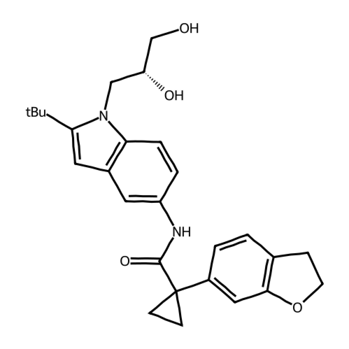 CC(C)(C)c1cc2cc(NC(=O)C3(c4ccc5c(c4)OCC5)CC3)ccc2n1C[C@@H](O)CO